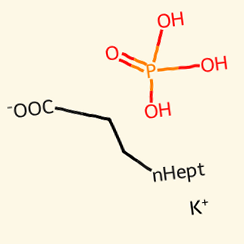 CCCCCCCCCC(=O)[O-].O=P(O)(O)O.[K+]